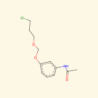 CC(=O)Nc1cccc(OCOCCCCl)c1